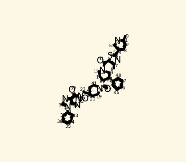 Cc1ccc(-c2nc(C)c(C(=O)N3CC[C@@H](C(=O)N4CCC(O)(Cn5cnc6c(ncn6-c6ccccc6)c5=O)CC4)[C@H](c4ccccc4)C3)s2)cn1